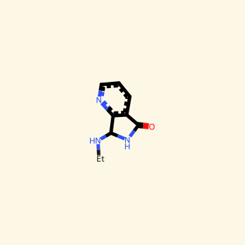 CCNC1NC(=O)c2cccnc21